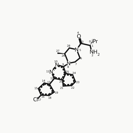 CC(C)[C@H](N)C(=O)N1CCN(c2nnc(-c3ccc(Cl)cc3)c3ccccc23)[C@@H](C)C1